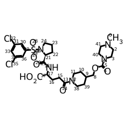 CN1CCN(C(=O)OCC2CCN(C(=O)CC[C@H](NC(=O)[C@@H]3CCCN3S(=O)(=O)c3cc(Cl)cc(Cl)c3)C(=O)O)CC2)CC1